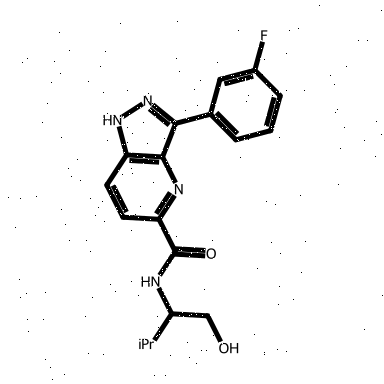 CC(C)C(CO)NC(=O)c1ccc2[nH]nc(-c3cccc(F)c3)c2n1